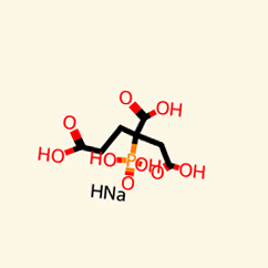 O=C(O)CCC(CC(=O)O)(C(=O)O)P(=O)(O)O.[NaH]